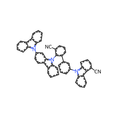 N#Cc1cccc(-c2cccc(-n3c4ccccc4c4c(C#N)cccc43)c2)c1-n1c2ccccc2c2ccc(-n3c4ccccc4c4ccccc43)cc21